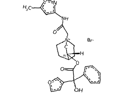 Cc1cc(NC(=O)C[N+]23CCC(CC2)[C@@H](OC(=O)C(O)(c2ccccc2)c2ccoc2)C3)no1.[Br-]